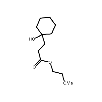 COCCOC(=O)CCC1(O)CCCCC1